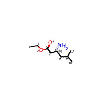 CCOC(=O)C[C@H](N)CC(C)C